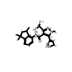 CC1CC(C)(C)c2cccc(NC(=O)c3c(C(F)F)nn(C)c3C3=CCNO3)c21